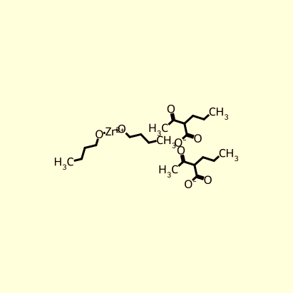 CCCC(C(C)=O)C(=O)[O-].CCCC(C(C)=O)C(=O)[O-].CCCC[O][Zr+2][O]CCCC